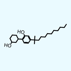 CCCCCCCCCCC(C)(C)c1ccc(C2CCCC(O)C2)c(O)c1